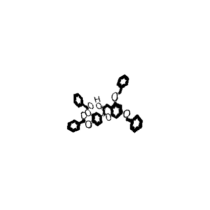 O=C(Oc1ccc([C@H]2Oc3cc(OCc4ccccc4)cc(OCc4ccccc4)c3C[C@H]2O)cc1OC(=O)c1ccccc1)c1ccccc1